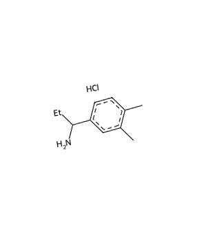 CCC(N)c1ccc(C)c(C)c1.Cl